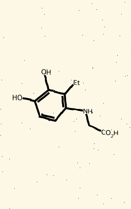 CCc1c(NCC(=O)O)ccc(O)c1O